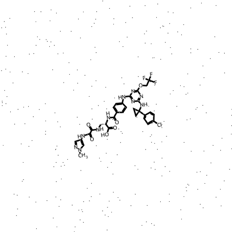 Cn1cc(NC(=O)C(=O)NC[C@H](NC(=O)c2ccc(Nc3nc(NC4(c5ccc(Cl)cc5)CC4)nc(OCC(F)(F)F)n3)cc2)C(=O)O)cn1